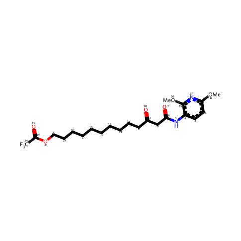 COc1ccc(NC(=O)CC(=O)CCCCCCCCCCOC(=O)C(F)(F)F)c(OC)n1